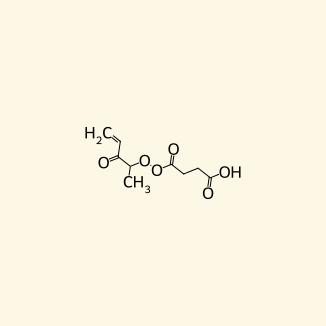 C=CC(=O)C(C)OOC(=O)CCC(=O)O